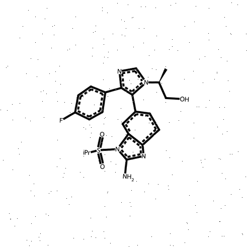 CC(C)S(=O)(=O)n1c(N)nc2ccc(-c3c(-c4ccc(F)cc4)ncn3[C@@H](C)CO)cc21